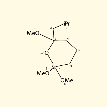 COC1(CC(C)C)CCC[Si](OC)(OC)O1